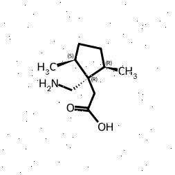 C[C@@H]1CC[C@H](C)[C@]1(CN)CC(=O)O